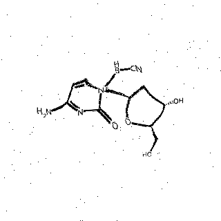 N#CB[N+]1([C@H]2C[C@H](O)[C@@H](CO)O2)C=CC(N)=NC1=O